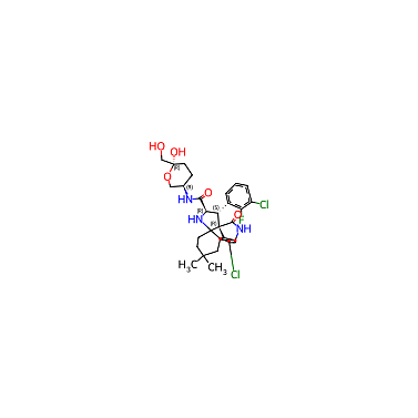 CC1(C)CCC2(CC1)N[C@@H](C(=O)N[C@@H]1CC[C@](O)(CO)OC1)[C@H](c1cccc(Cl)c1F)[C@]21C(=O)Nc2cc(Cl)ccc21